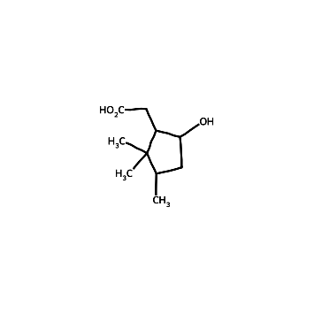 CC1CC(O)C(CC(=O)O)C1(C)C